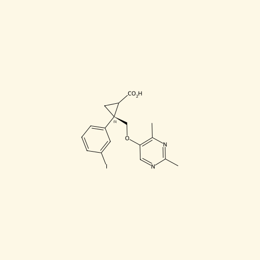 Cc1ncc(OC[C@@]2(c3cccc(I)c3)CC2C(=O)O)c(C)n1